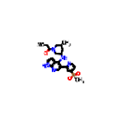 C[C@H]1C[C@@H](Nc2c(-c3cc(S(C)(=O)=O)ccn3)cnc3[nH]ccc23)CN(C(=O)CC#N)C1